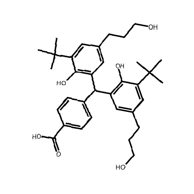 CC(C)(C)c1cc(CCCO)cc(C(c2ccc(C(=O)O)cc2)c2cc(CCCO)cc(C(C)(C)C)c2O)c1O